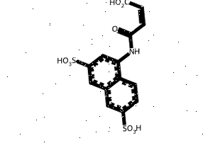 O=C(O)/C=C\C(=O)Nc1cc(S(=O)(=O)O)cc2cc(S(=O)(=O)O)ccc12